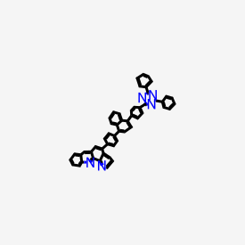 c1ccc(-c2nc(-c3ccccc3)nc(-c3ccc(-c4ccc(-c5ccc(-c6cc7cc8ccccc8nc7c7ncccc67)cc5)c5ccccc45)cc3)n2)cc1